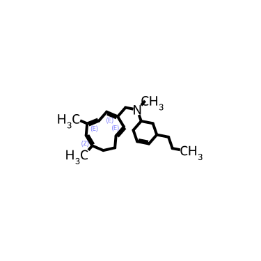 CCCC1C=CCC(N(C)CC2=C/C=C(C)/C=C(/C)CC\C=C\2)C1